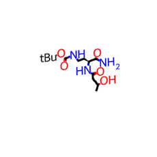 CC(O)CC(=O)N[C@@H](CCNC(=O)OC(C)(C)C)C(N)=O